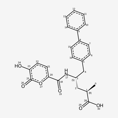 C[C@H](C[C@@H](Cc1ccc(-c2ccccc2)cc1)NC(=O)c1ccc(O)c(=O)o1)C(=O)O